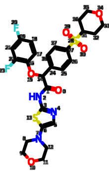 O=C(Nc1ncc(N2CCOCC2)s1)C(Oc1ccc(F)cc1F)c1ccc(S(=O)(=O)C2CCOCC2)cc1